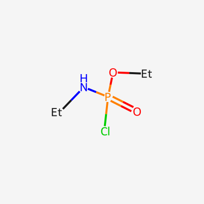 CCNP(=O)(Cl)OCC